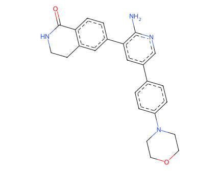 Nc1ncc(-c2ccc(N3CCOCC3)cc2)cc1-c1ccc2c(c1)CCNC2=O